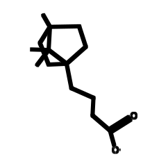 CC12CCC(CCCC([O])=O)(CC1)C2(C)C